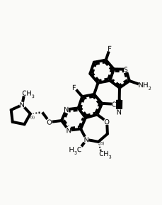 C[C@H]1COc2c(Cl)c(-c3ccc(F)c4sc(N)c(C#N)c34)c(F)c3nc(OC[C@@H]4CCCN4C)nc(c23)N1C